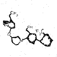 OCc1cc(-c2ccccc2C(F)(F)F)ccc1N1CCC(Oc2ccc(C(F)(F)F)cn2)C1